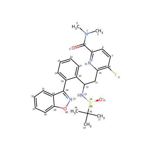 CN(C)C(=O)c1ccc(F)c(CC(N[S@@+]([O-])C(C)(C)C)c2ccccc2-c2noc3ccccc23)n1